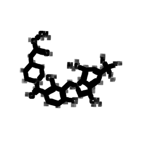 COC(=O)CC1CCN(C(=O)c2ccc(Cl)c(Cn3cc(C)c4cc(C(F)(F)F)cc(C)c43)c2Cl)CC1